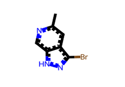 Cc1cc2c(Br)n[nH]c2cn1